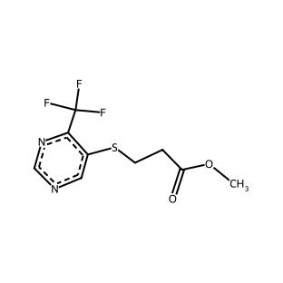 COC(=O)CCSc1cncnc1C(F)(F)F